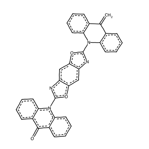 C=C1c2ccccc2N(c2nc3cc4oc(-n5c6ccccc6c(=O)c6ccccc65)nc4cc3o2)c2ccccc21